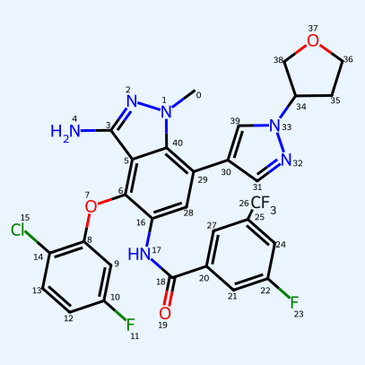 Cn1nc(N)c2c(Oc3cc(F)ccc3Cl)c(NC(=O)c3cc(F)cc(C(F)(F)F)c3)cc(-c3cnn(C4CCOC4)c3)c21